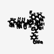 COc1ccc(CCC(=O)Nc2nnc(-c3ncccc3-c3cc(F)cc(-n4ccc(C(=O)Nc5nnc(-c6ccccn6)[nH]5)n4)c3)[nH]2)cc1